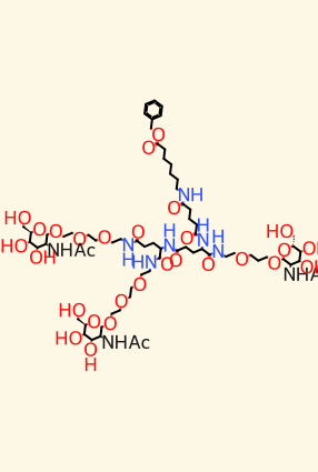 CC(=O)N[C@H]1[C@H](OCCCOCCNC(=O)C(CCC(=O)NC(CCC(=O)NCCOCCOCCO[C@@H]2O[C@H](CO)[C@H](O)[C@H](O)[C@H]2NC(C)=O)C(=O)NCCOCCOCCO[C@@H]2O[C@H](CO)[C@H](O)[C@H](O)[C@H]2NC(C)=O)NC(=O)CCCC(=O)NCCCCCCC(=O)OCc2ccccc2)O[C@H](CO)[C@H](O)[C@@H]1O